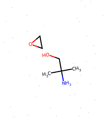 C1CO1.CC(C)(N)CO